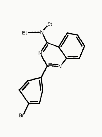 CCN(CC)c1nc(-c2ccc(Br)cc2)nc2ccccc12